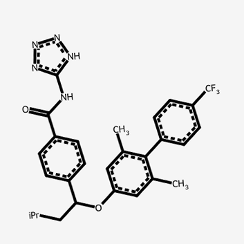 Cc1cc(OC(CC(C)C)c2ccc(C(=O)Nc3nnn[nH]3)cc2)cc(C)c1-c1ccc(C(F)(F)F)cc1